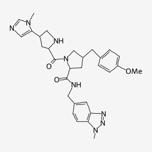 COc1ccc(CC2CC(C(=O)NCc3ccc4c(c3)nnn4C)N(C(=O)C3CC(c4cncn4C)CN3)C2)cc1